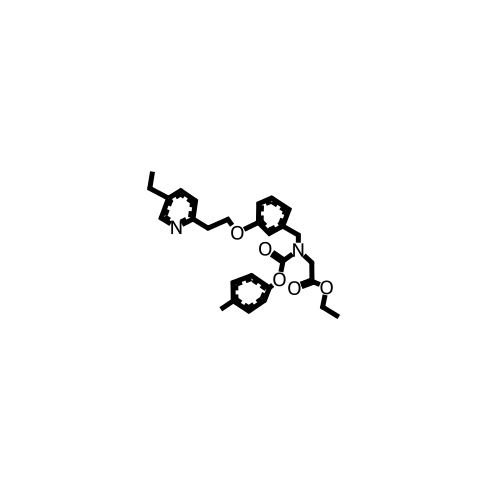 CCOC(=O)CN(Cc1cccc(OCCc2ccc(CC)cn2)c1)C(=O)Oc1ccc(C)cc1